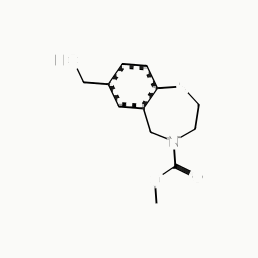 COC(=O)N1CCSc2ccc(CO)cc2C1